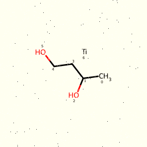 CC(O)CCO.[Ti]